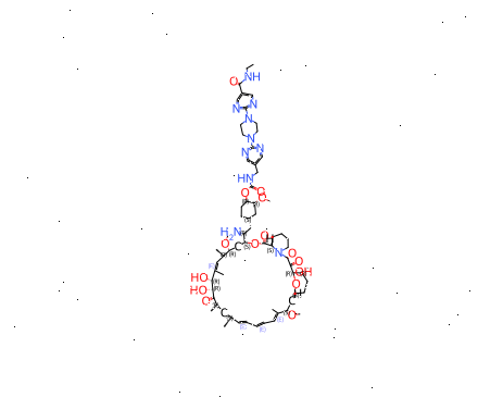 CCNC(=O)c1cnc(N2CCN(c3ncc(CNC(=O)O[C@@H]4CC[C@@H](C[C@@H](N)[C@@H]5C[C@@H](OC)[C@H](C)/C=C(\C)[C@@H](O)[C@@H](O)C(=O)[C@H](C)C[C@H](C)/C=C/C=C/C=C(\C)[C@@H](OC)C[C@@H]6CC[C@@H](C)[C@@](O)(O6)C(=O)C(=O)N6CCCC[C@H]6C(=O)O5)C[C@H]4OC)cn3)CC2)nc1